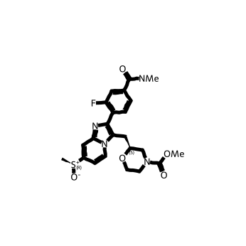 CNC(=O)c1ccc(-c2nc3cc([S@+](C)[O-])ccn3c2C[C@H]2CN(C(=O)OC)CCO2)c(F)c1